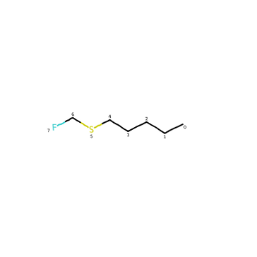 CCCCCSCF